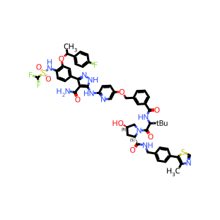 Cc1ncsc1-c1ccc(CNC(=O)[C@@H]2C[C@@H](O)CN2C(=O)C(NC(=O)c2cccc(COc3ccc(Nc4[nH]nc(-c5ccc(NS(=O)(=O)C(F)F)c(OC(C)c6ccc(F)cc6)c5)c4C(N)=O)nc3)c2)C(C)(C)C)cc1